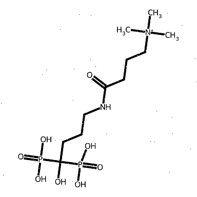 C[N+](C)(C)CCCC(=O)NCCCC(O)(P(=O)(O)O)P(=O)(O)O